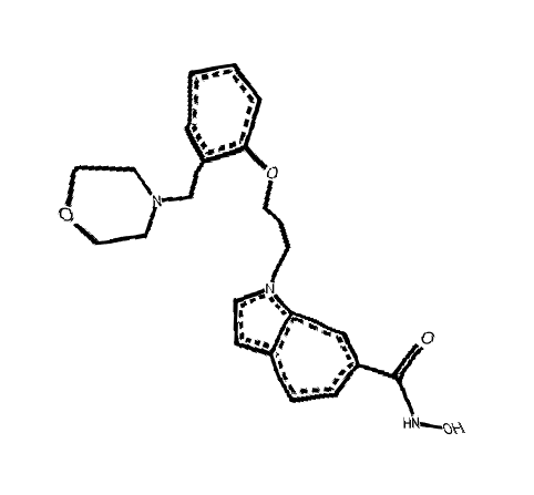 O=C(NO)c1ccc2ccn(CCOc3ccccc3CN3CCOCC3)c2c1